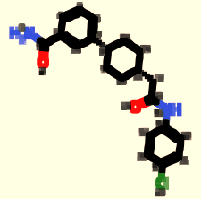 NC(=O)c1cccc([C@H]2CC[C@@H](CC(=O)Nc3ccc(Cl)cc3)CC2)c1